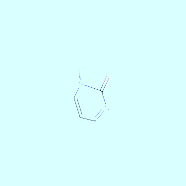 O=c1ncccn1S